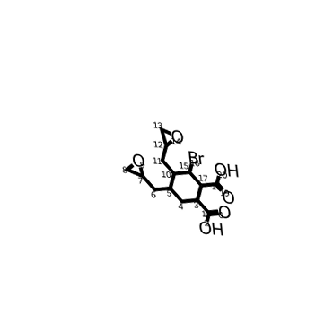 O=C(O)C1CC(CC2CO2)C(CC2CO2)C(Br)C1C(=O)O